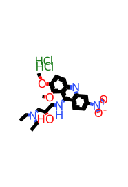 CCN(CC)CC(O)CNc1c2ccc([N+](=O)[O-])cc2nc2ccc(OC)c(OC)c12.Cl.Cl